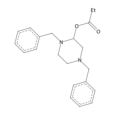 CCC(=O)OC1CN(Cc2ccccc2)CCN1Cc1ccccc1